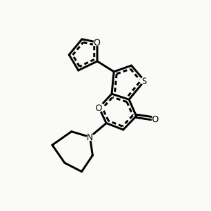 O=c1cc(N2CCCCC2)oc2c(-c3ccco3)csc12